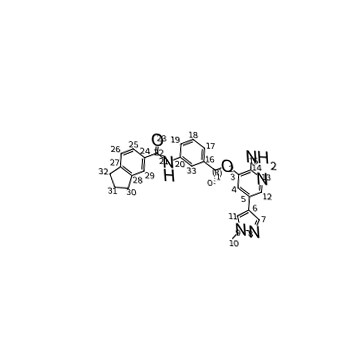 C[C@@H](Oc1cc(-c2cnn(C)c2)cnc1N)c1cccc(NC(=O)c2ccc3c(c2)CCC3)c1